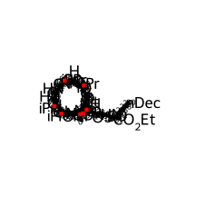 C/C=C/C[C@@H](C)C(OC(=O)OCOC(=O)CCCSSCC(NC(=O)CCCCCCCCCCCCCCC)C(=O)OCC)C1C(=O)N[C@@H](CC)C(=O)N(C)CC(=O)N(C)[C@@H](CC(C)C)C(=O)N[C@@H](C(C)C)C(=O)N(C)[C@@H](CC(C)C)C(=O)N[C@@H](C)C(=O)N[C@H](C)C(=O)N(C)[C@@H](CC(C)C)C(=O)N(C)C(CC(C)C)C(=O)N(C)[C@@H](C(C)C)C(=O)N1C